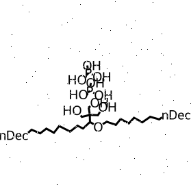 CCCCCCCCCCCCCCCCCCOC(CCCCCCCCCCCCCCCCCC)C(CO)(CO)CO.OP(O)O.OP(O)O